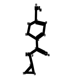 NC1=CC=C(C(=O)NC2CC2)CC1